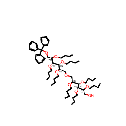 CCCCO[C@H]([C@@H](OCCCC)[C@H](COC[C@@H](OCCCC)[C@@H](OCCCC)[C@H](OCCCC)[C@@H](COC(c1ccccc1)(c1ccccc1)c1ccccc1)OCCCC)OCCCC)[C@H](CO)OCCCC